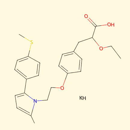 CCOC(Cc1ccc(OCCn2c(C)ccc2-c2ccc(SC)cc2)cc1)C(=O)O.[KH]